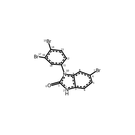 O=c1[nH]c2ccc(Br)cc2n1-c1ccc(Br)c(Br)c1